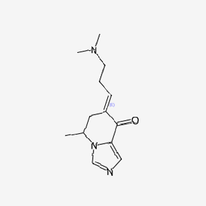 CC1C/C(=C\CCN(C)C)C(=O)c2cncn21